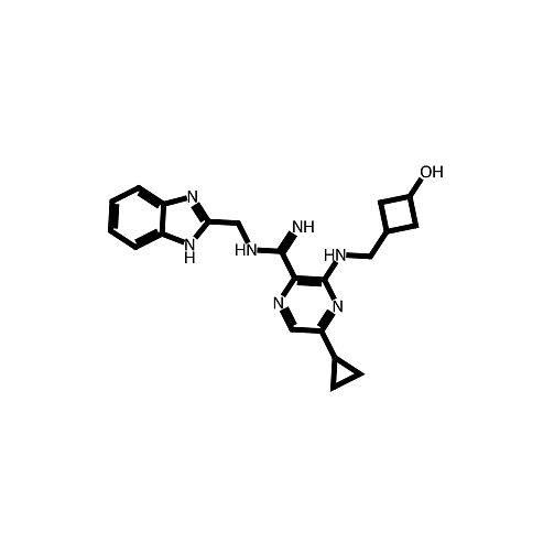 N=C(NCc1nc2ccccc2[nH]1)c1ncc(C2CC2)nc1NCC1CC(O)C1